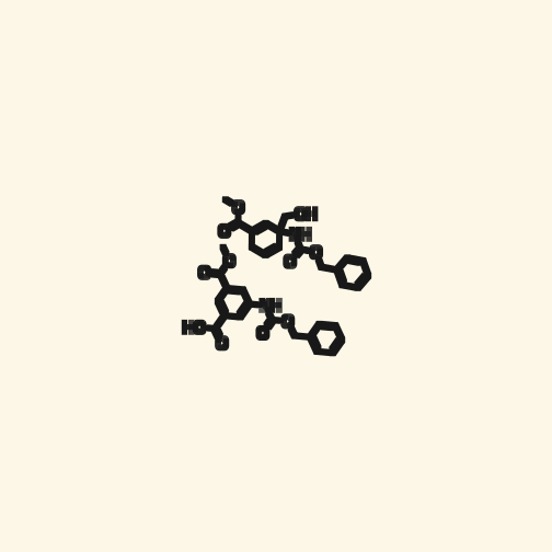 COC(=O)C1=CC(CO)(NC(=O)OCc2ccccc2)C=CC1.COC(=O)c1cc(NC(=O)OCc2ccccc2)cc(C(=O)O)c1